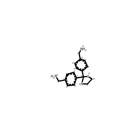 NCc1ccc(C2(c3ccc(CN)cc3)SCCS2)cc1